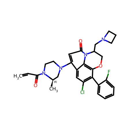 C=CC(=O)N1CCN(c2cc(=O)n3c4c(c(-c5ccccc5F)c(Cl)cc24)OCC3CN2CCC2)C[C@H]1C